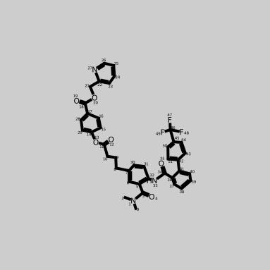 CN(C)C(=O)c1cc(CCCC(=O)Oc2ccc(C(=O)OCc3ccccn3)cc2)ccc1NC(=O)c1ccccc1-c1ccc(C(F)(F)F)cc1